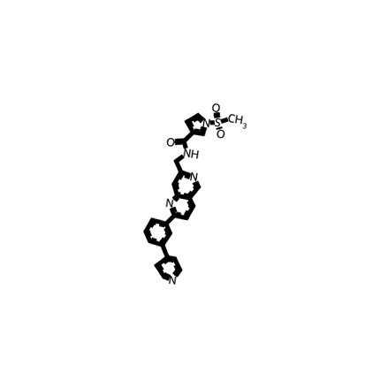 CS(=O)(=O)n1ccc(C(=O)NCc2cc3nc(-c4cccc(-c5ccncc5)c4)ccc3cn2)c1